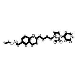 CCON=Cc1ccc2c(c1)CCC(CCCCN1CCN(c3ccncc3)S1(=O)=O)O2